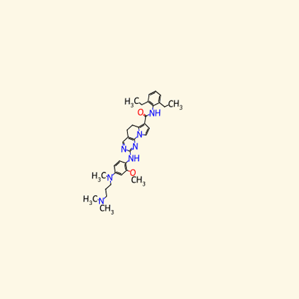 CCc1cccc(CC)c1NC(=O)c1ccn2c1CCc1cnc(Nc3ccc(N(C)CCCN(C)C)cc3OC)nc1-2